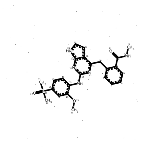 CNC(=O)c1ccccc1Cc1nc(Nc2ccc(P(C)(C)=O)cc2OC)nc2[nH]ccc12